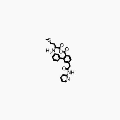 CSCC[C@H](N)C(=O)OC(=O)c1ccc(CC(=O)Nc2ccccn2)cc1-c1ccccc1